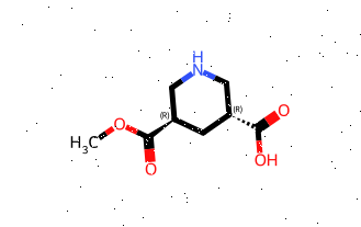 COC(=O)[C@H]1CNC[C@H](C(=O)O)C1